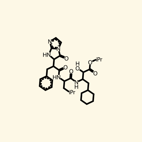 CC(C)CC(NC(=O)C(Cc1ccccc1)C1Nc2nccn2C1=O)C(=O)NC(CC1CCCCC1)C(O)C(=O)OC(C)C